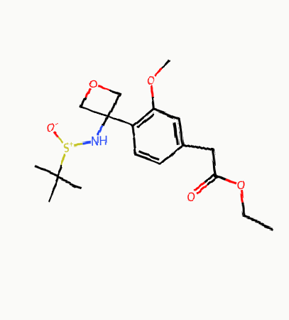 CCOC(=O)Cc1ccc(C2(N[S+]([O-])C(C)(C)C)COC2)c(OC)c1